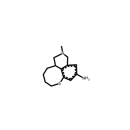 CN1Cc2cc(N)cc3c2C(CCCCS3)C1